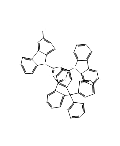 N#Cc1ccc2c(c1)c1ccccc1n2-c1nc(-c2ccccc2C(c2ccccc2)(c2ccccc2)c2ccccc2)nc(-n2c3ccccc3c3ccccc32)n1